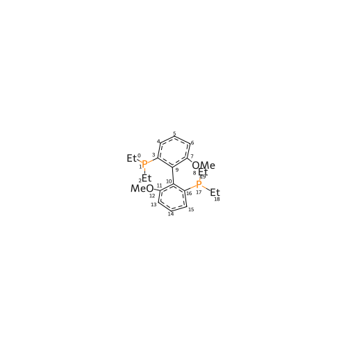 CCP(CC)c1cccc(OC)c1-c1c(OC)cccc1P(CC)CC